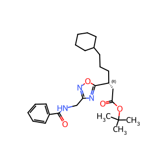 CC(C)(C)OC(=O)C[C@@H](CCCC1CCCCC1)c1nc(CNC(=O)c2ccccc2)no1